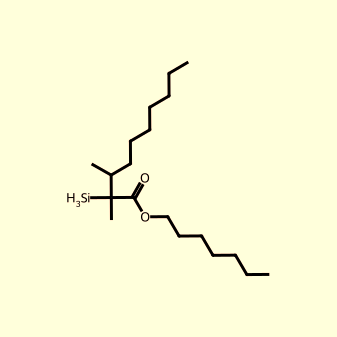 CCCCCCCOC(=O)C(C)([SiH3])C(C)CCCCCCC